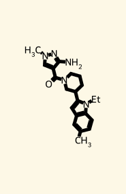 CCn1c(C2CCCN(C(=O)c3cn(C)nc3N)C2)cc2cc(C)ccc21